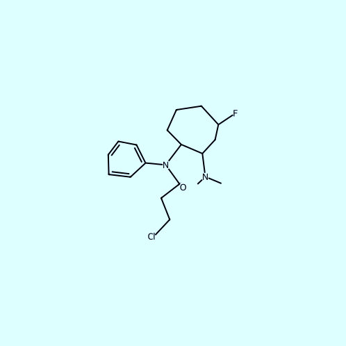 CN(C)C1CC(F)CCCC1N(C(=O)CCCl)c1ccccc1